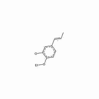 C/C=C/c1ccc(OCC)c([O])c1